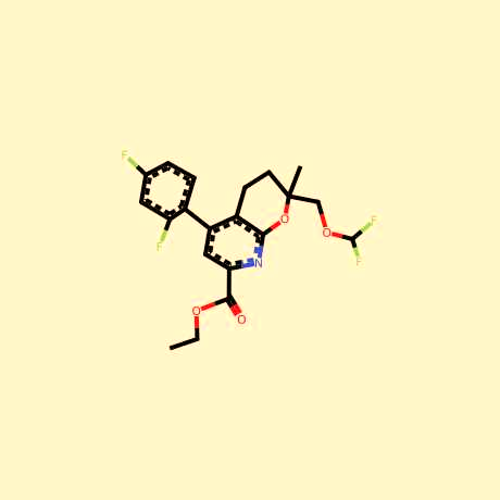 CCOC(=O)c1cc(-c2ccc(F)cc2F)c2c(n1)OC(C)(COC(F)F)CC2